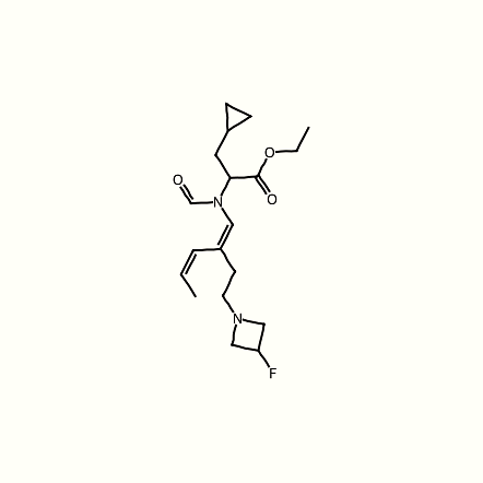 C/C=C\C(=C/N(C=O)C(CC1CC1)C(=O)OCC)CCN1CC(F)C1